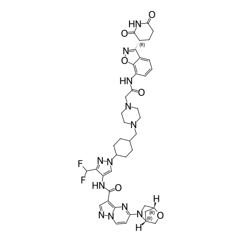 O=C1CC[C@H](c2noc3c(NC(=O)CN4CCN(CC5CCC(n6cc(NC(=O)c7cnn8ccc(N9C[C@H]%10C[C@@H]9CO%10)nc78)c(C(F)F)n6)CC5)CC4)cccc23)C(=O)N1